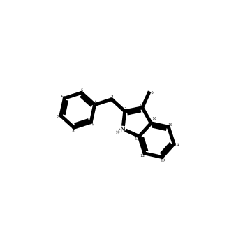 CC1=C(Cc2ccccc2)[N]c2ccccc21